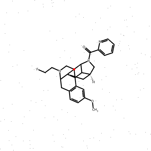 COc1ccc2c(c1)C13CCN(CCF)C(C2)C12CCC1C3[C@@H](CN1C(=O)c1ccccn1)C2